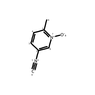 [C-]#[N+]c1ccc(C)[n+]([O-])c1